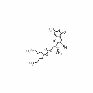 CCCCC(CCCC)OC(=O)OC[C@H](OC)[C@@H](O)[C@H](C#N)Cn1ccc(N)nc1=O